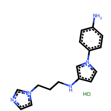 Cl.Nc1ccc(-n2ccc(NCCCn3ccnc3)c2)cc1